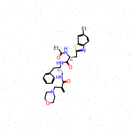 C=C(CN1CCOCC1)C(=O)NC[C@H](Cc1ccccc1)NC(=O)[C@H](Cc1nc2ccc(CC)cc2s1)NC(=O)CC